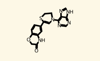 O=C1COc2ccc(C3=CN(c4ncnc5[nH]cnc45)CCS3)cc2N1